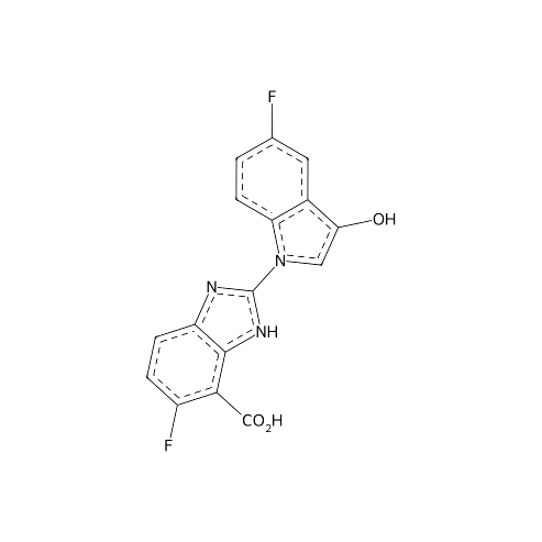 O=C(O)c1c(F)ccc2nc(-n3cc(O)c4cc(F)ccc43)[nH]c12